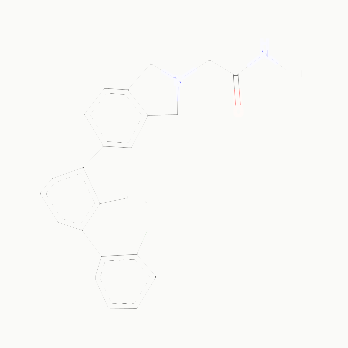 CNC(=O)CN1Cc2ccc(-c3cccc(-c4ccccc4F)c3C)cc2C1